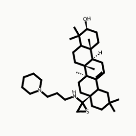 CC1(C)CC[C@]2(C3(NCCCN4CCCCC4)CS3)CC[C@]3(C)C(=CC[C@@H]4[C@@]5(C)CC[C@H](O)C(C)(C)C5CC[C@]43C)C2C1